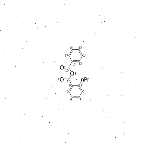 CCCc1ccccc1C(=O)OC(=O)c1ccccc1